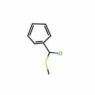 CSC(Cl)c1ccccc1